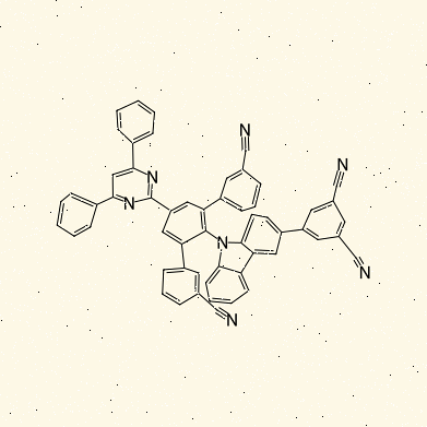 N#Cc1cc(C#N)cc(-c2ccc3c(c2)c2ccccc2n3-c2c(-c3cccc(C#N)c3)cc(-c3nc(-c4ccccc4)cc(-c4ccccc4)n3)cc2-c2cccc(C#N)c2)c1